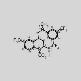 CCC1CC(CN(C)c2cc(C(F)(F)F)cc(C(F)(F)F)c2)c2cc(C(F)(F)F)ccc2N1C(=O)O